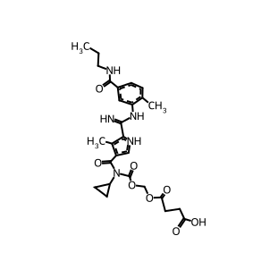 CCCNC(=O)c1ccc(C)c(NC(=N)c2[nH]cc(C(=O)N(C(=O)OCOC(=O)CCC(=O)O)C3CC3)c2C)c1